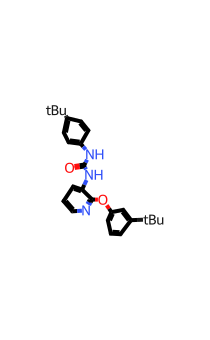 CC(C)(C)c1ccc(NC(=O)Nc2cccnc2Oc2cccc(C(C)(C)C)c2)cc1